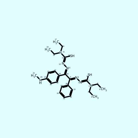 CCN(CC)/C(S)=N/N=C(/C(=N/N=C(\S)N(CC)CC)c1ccc(NC)cc1)c1ccccc1